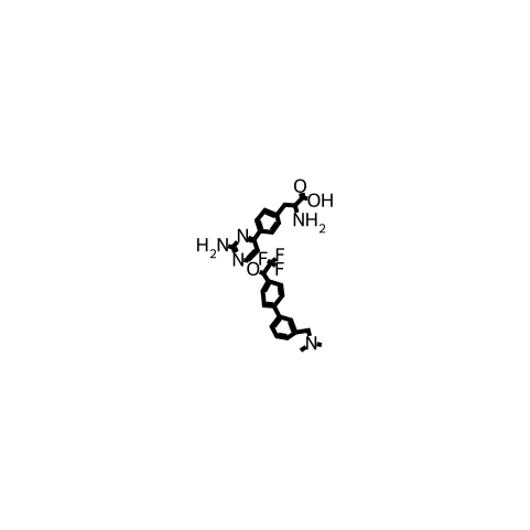 CN(C)Cc1cccc(-c2ccc(C(Oc3cc(-c4ccc(CC(N)C(=O)O)cc4)nc(N)n3)C(F)(F)F)cc2)c1